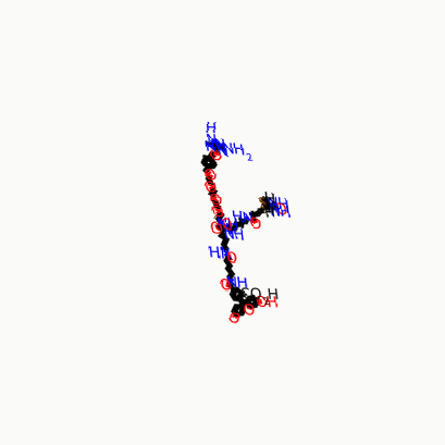 Nc1nc(OCc2ccc(COCCOCCOCCOCCNC(=O)C(CCCCNC(=O)CCCCCNC(=O)c3ccc(-c4c5ccc(=O)cc-5oc5cc(O)ccc45)c(C(=O)O)c3)NC(=O)CCCCCNC(=O)CCCC[C@H]3SC[C@H]4NC(=O)N[C@H]43)cc2)c2nc[nH]c2n1